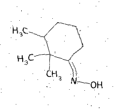 CC1CCCC(=NO)C1(C)C